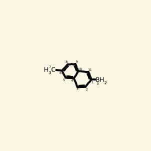 Bc1ccc2cc(C)ccc2c1